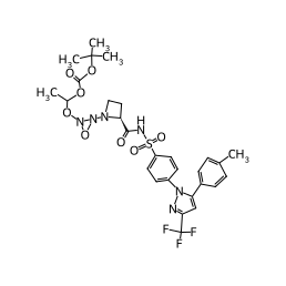 Cc1ccc(-c2cc(C(F)(F)F)nn2-c2ccc(S(=O)(=O)NC(=O)[C@@H]3CCN3n3on3OC(C)OC(=O)OC(C)(C)C)cc2)cc1